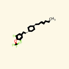 CCC/C=C/CC[C@H]1CC[C@H](CCc2cc(F)c(OC(F)(F)F)c(F)c2)CC1